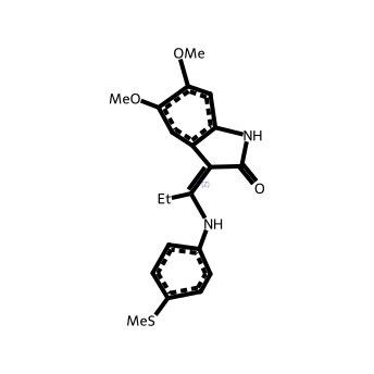 CC/C(Nc1ccc(SC)cc1)=C1/C(=O)Nc2cc(OC)c(OC)cc21